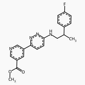 COC(=O)c1cncc(-c2ccc(NCC(C)c3ccc(F)cc3)nn2)c1